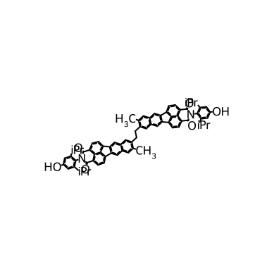 Cc1cc2cc3c(cc2cc1CCc1cc2cc4c(cc2cc1C)-c1ccc2c5c(ccc-4c15)C(=O)N(c1c(C(C)C)cc(O)cc1C(C)C)C2=O)-c1ccc2c4c(ccc-3c14)C(=O)N(c1c(C(C)C)cc(O)cc1C(C)C)C2=O